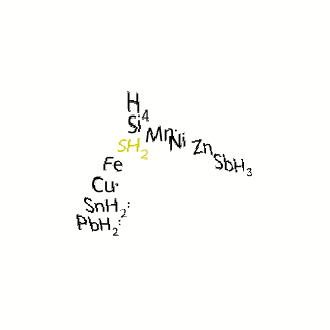 S.[Cu].[Fe].[Mn].[Ni].[PbH2].[SbH3].[SiH4].[SnH2].[Zn]